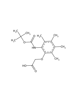 Cc1c(C)c(C)c(OCC(=O)O)c(NC(=O)OC(C)(C)C)c1C